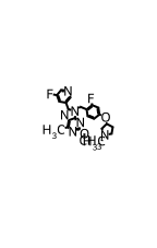 COc1nc(C)c2nc(-c3cncc(F)c3)n(Cc3ccc(O[C@@H]4CCN(C)C4)cc3F)c2n1